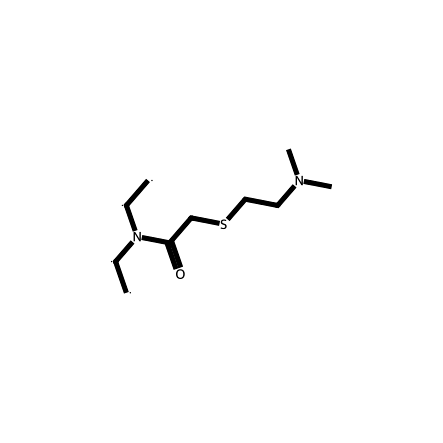 [CH2][CH]N([CH][CH2])C(=O)CSCCN(C)C